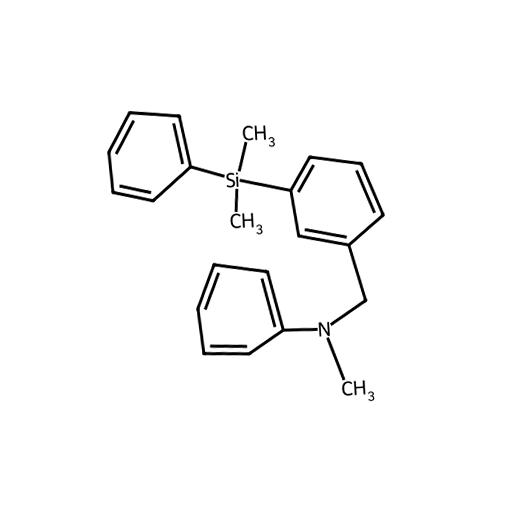 CN(Cc1cccc([Si](C)(C)c2ccccc2)c1)c1ccccc1